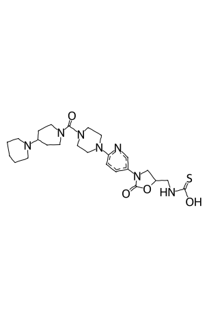 O=C(N1CCC(N2CCCCC2)CC1)N1CCN(c2ccc(N3CC(CNC(O)=S)OC3=O)cn2)CC1